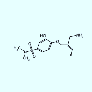 CN(C)S(=O)(=O)c1ccc(OC/C(=C\F)CN)cc1.Cl